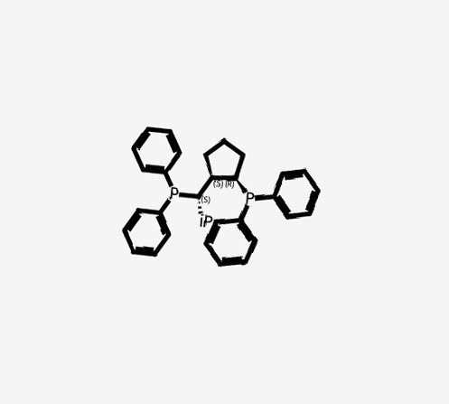 CC(C)[C@@H]([C@H]1CCC[C@H]1P(c1ccccc1)c1ccccc1)P(c1ccccc1)c1ccccc1